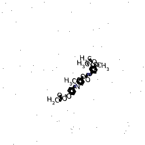 C=CC(=O)OCOc1ccc(/C=N/c2ccc(OC(=O)/C=C/c3ccc(OC)c(N(C)C(C)=O)c3)cc2C)cc1